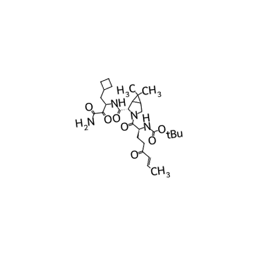 C/C=C/C(=O)CC[C@H](NC(=O)OC(C)(C)C)C(=O)N1CC2C([C@H]1C(=O)NC(CC1CCC1)C(=O)C(N)=O)C2(C)C